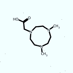 CN1CCN(C)CCN(CC(=O)O)CC1